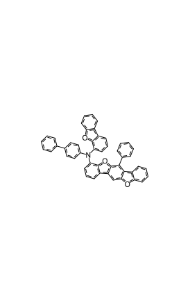 c1ccc(-c2ccc(N(c3cccc4c3oc3ccccc34)c3cccc4c3oc3c(-c5ccccc5)c5c(cc34)oc3ccccc35)cc2)cc1